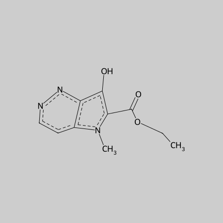 CCOC(=O)c1c(O)c2nnccc2n1C